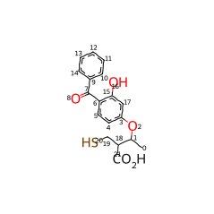 CC(Oc1ccc(C(=O)c2ccccc2)c(O)c1)C(CS)C(=O)O